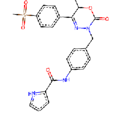 CCC1OC(=O)N(Cc2ccc(NC(=O)c3ccc[nH]3)cc2)N=C1c1ccc(S(C)(=O)=O)cc1